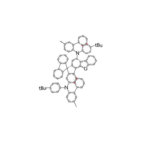 Cc1ccc(N(c2ccc(C(C)(C)C)cc2)c2ccc3c(c2)C2(c4ccccc4-c4ccccc42)c2cc(N(c4ccc(C(C)(C)C)cc4)c4ccc(C)cc4-c4ccccc4)c4c(oc5ccccc54)c2-3)c(-c2ccccc2)c1